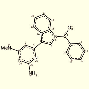 CNc1cc(-c2cn([S+]([O-])c3ccccc3)c3ccccc23)nc(N)n1